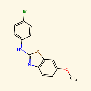 COc1ccc2nc(Nc3ccc(Br)cc3)sc2c1